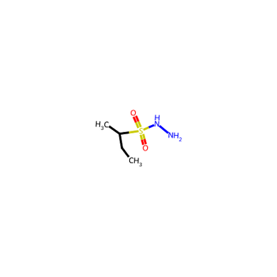 CCC(C)S(=O)(=O)NN